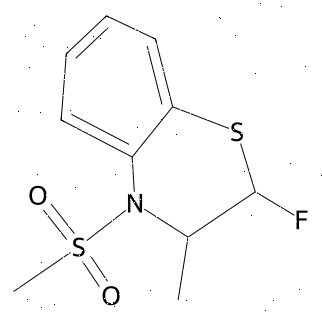 CC1C(F)Sc2ccccc2N1S(C)(=O)=O